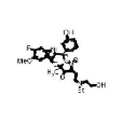 CCN(CCO)CCC1C(=O)[C@]2(C)Cc3c([nH]c4cc(F)c(OC)cc34)[C@@H](c3cccc(O)c3)N2[N+]1=O